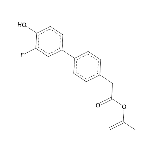 C=C(C)OC(=O)Cc1ccc(-c2ccc(O)c(F)c2)cc1